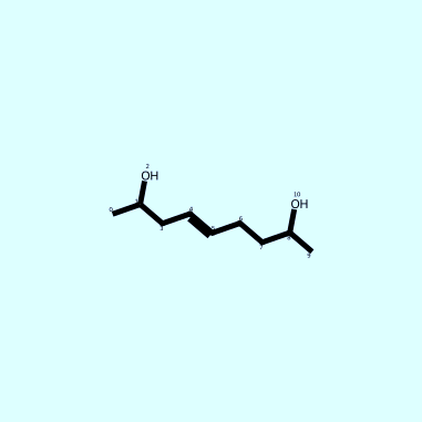 CC(O)C/C=C/CCC(C)O